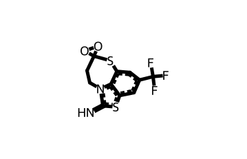 N=c1sc2cc(C(F)(F)F)cc3c2n1CCC1(OO1)S3